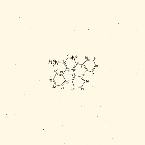 Nc1cnc(-c2ccccc2)c(-c2ccccc2)c1-c1ccccc1